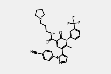 Cc1c(-c2ccnn2-c2ccc(C#N)cc2)cc(C(=O)NCCCN2CCCC2)c(=O)n1-c1cccc(C(F)(F)F)c1